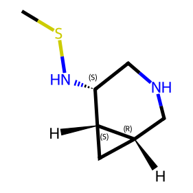 CSN[C@@H]1CNC[C@@H]2C[C@@H]21